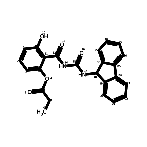 CCC(=O)Oc1cccc(O)c1C(=O)NC(=O)NC1c2ccccc2-c2ccccc21